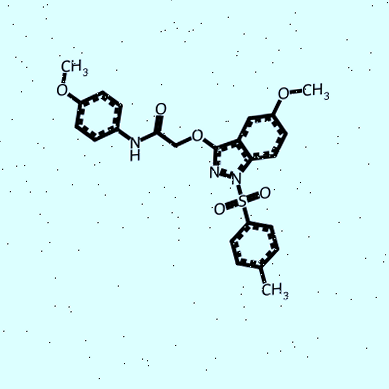 COc1ccc(NC(=O)COc2nn(S(=O)(=O)c3ccc(C)cc3)c3ccc(OC)cc23)cc1